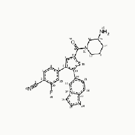 N#Cc1ccc(-c2cc(C(=O)N3CCCC(N)C3)sc2-c2ccc3nccn3c2)cc1F